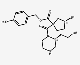 O=C(OCc1ccc([N+](=O)[O-])cc1)[N+]1(C(=O)N2CCNC[C@@H]2CCO)CC[C@H](S)C1